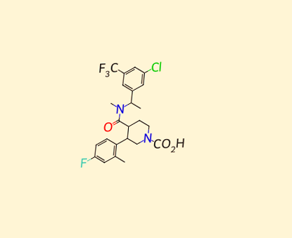 Cc1cc(F)ccc1C1CN(C(=O)O)CCC1C(=O)N(C)C(C)c1cc(Cl)cc(C(F)(F)F)c1